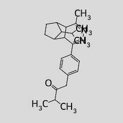 CC1=NN=C(c2ccc(CC(=O)C(C)C)cc2)C2C3CCC(C12)C3C(C)C